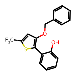 Oc1ccccc1-c1sc(C(F)(F)F)cc1OCc1ccccc1